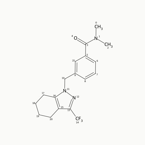 CN(C)C(=O)c1cccc(Cn2nc(C(F)(F)F)c3c2CCCC3)c1